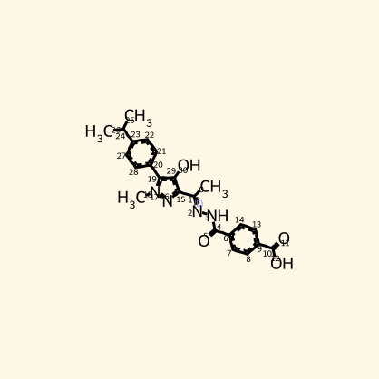 C/C(=N\NC(=O)c1ccc(C(=O)O)cc1)c1nn(C)c(-c2ccc(C(C)C)cc2)c1O